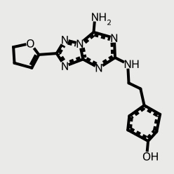 Nc1nc(NCCc2ccc(O)cc2)nc2nc(C3=CCCO3)nn12